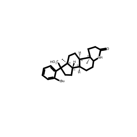 CC(C)(C)c1ccccc1C1(C(=O)O)CC[C@H]2[C@@H]3CCC4NC(=O)CC[C@]4(C)[C@@H]3CC[C@@]21C